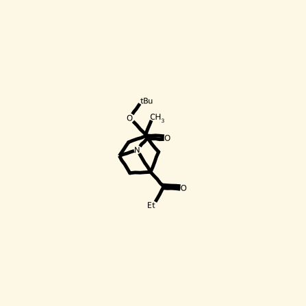 CCC(=O)C12CC(C)CC(C1)N2C(=O)OC(C)(C)C